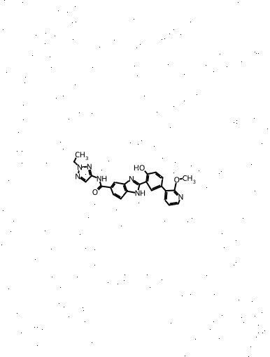 CCn1ncc(NC(=O)c2ccc3[nH]c(-c4cc(-c5cccnc5OC)ccc4O)nc3c2)n1